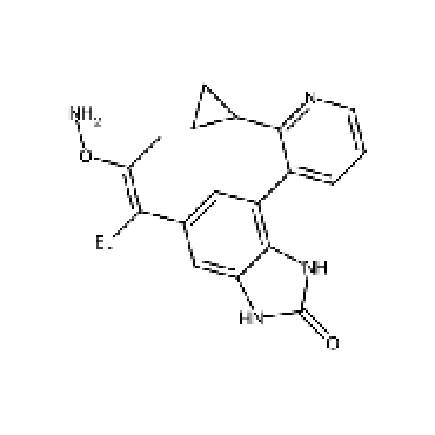 CC/C(=C(/C)ON)c1cc(-c2cccnc2C2CC2)c2[nH]c(=O)[nH]c2c1